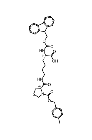 Cc1ccc(COC(=O)N2CSC[C@H]2C(=O)NCCCC[C@H](NC(=O)OCC2c3ccccc3-c3ccccc32)C(=O)O)cc1